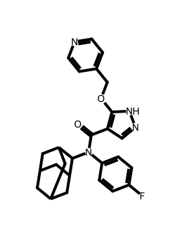 O=C(c1cn[nH]c1OCc1ccncc1)N(c1ccc(F)cc1)C1C2CC3CC(C2)CC1C3